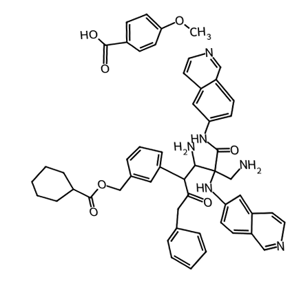 COc1ccc(C(=O)O)cc1.NCC(Nc1ccc2cnccc2c1)(C(=O)Nc1ccc2cnccc2c1)C(N)C(C(=O)Cc1ccccc1)c1cccc(COC(=O)C2CCCCC2)c1